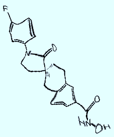 O=C(NO)c1ccc2c(c1)CC[C@@]1(CCN(c3ccc(F)cc3)C1=O)C2